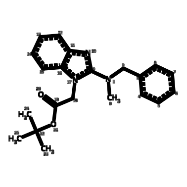 CN(Cc1ccccc1)c1nc2ccccc2n1CC(=O)OC(C)(C)C